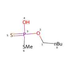 CCCCCOP(O)(=S)SC